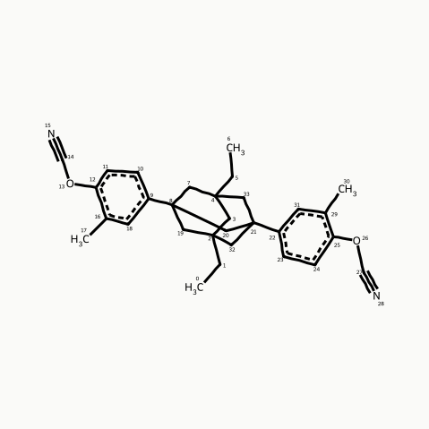 CCC12CC3(CC)CC(c4ccc(OC#N)c(C)c4)(C1)CC(c1ccc(OC#N)c(C)c1)(C2)C3